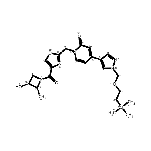 C[C@H]1[C@@H](O)CN1C(=O)c1coc(Cn2ccc(-c3cnn(COCC[Si](C)(C)C)c3)cc2=O)n1